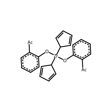 CC(=O)c1ccccc1[O][Zr]([O]c1ccccc1C(C)=O)([CH]1C=CC=C1)[CH]1C=CC=C1